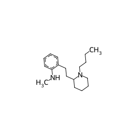 CCCCN1CCCCC1CCc1ccccc1NC